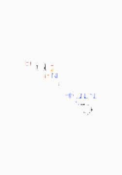 CN(C)c1nc(NC[C@H]2CC[C@H](CNS(=O)(=O)c3ccc(Br)cc3)CC2)nc2ccccc12